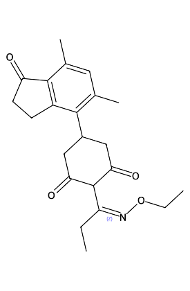 CCO/N=C(/CC)C1C(=O)CC(c2c(C)cc(C)c3c2CCC3=O)CC1=O